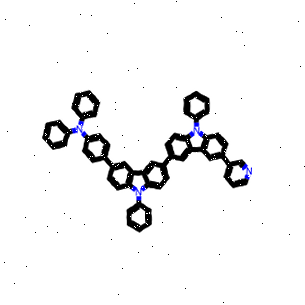 c1ccc(N(c2ccccc2)c2ccc(-c3ccc4c(c3)c3cc(-c5ccc6c(c5)c5cc(-c7cccnc7)ccc5n6-c5ccccc5)ccc3n4-c3ccccc3)cc2)cc1